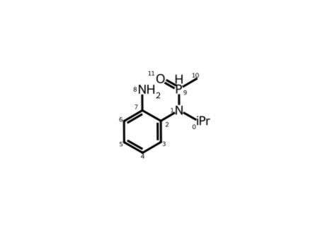 CC(C)N(c1ccccc1N)[PH](C)=O